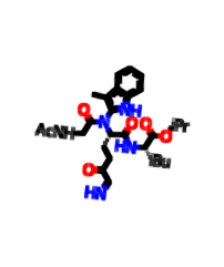 CCC(C)[C@H](NC(=O)[C@H](CCC(=O)C=N)N(C(=O)CNC(C)=O)c1[nH]c2ccccc2c1C)C(=O)OC(C)C